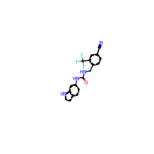 N#Cc1ccc(CNC(=O)Nc2ccc3cc[nH]c3c2)c(C(F)(F)F)c1